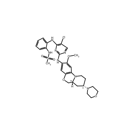 COc1cc2c(cc1Nc1ncc(Cl)c(Nc3ccccc3NS(C)(=O)=O)n1)OC[C@H]1C[C@@H](N3CCOCC3)CCN21